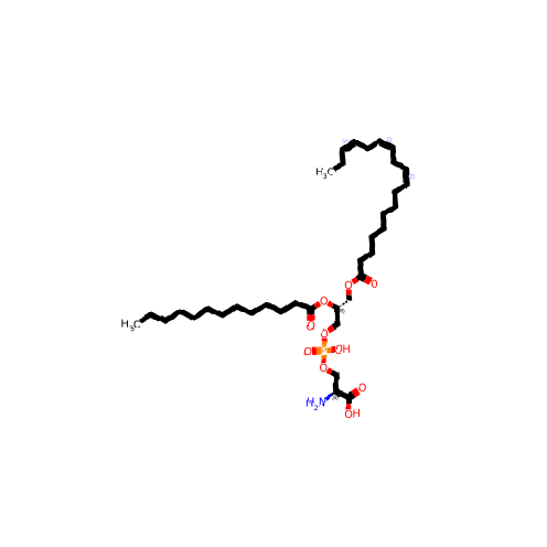 CC/C=C\C/C=C\C/C=C\CCCCCCCC(=O)OC[C@H](COP(=O)(O)OC[C@H](N)C(=O)O)OC(=O)CCCCCCCCCCCC